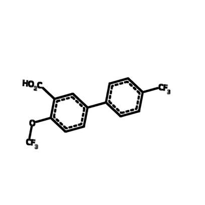 O=C(O)c1cc(-c2ccc(C(F)(F)F)cc2)ccc1OC(F)(F)F